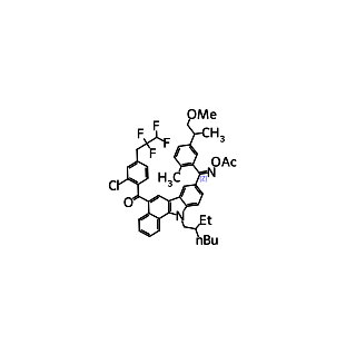 CCCCC(CC)Cn1c2ccc(/C(=N/OC(C)=O)c3cc(C(C)COC)ccc3C)cc2c2cc(C(=O)c3ccc(CC(F)(F)C(F)F)cc3Cl)c3ccccc3c21